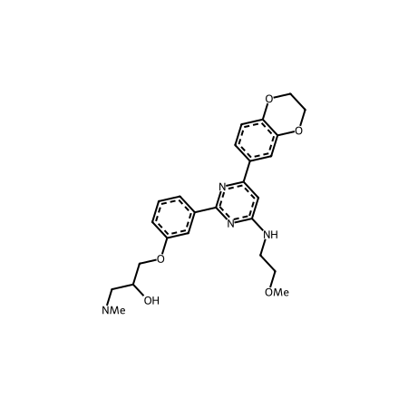 CNCC(O)COc1cccc(-c2nc(NCCOC)cc(-c3ccc4c(c3)OCCO4)n2)c1